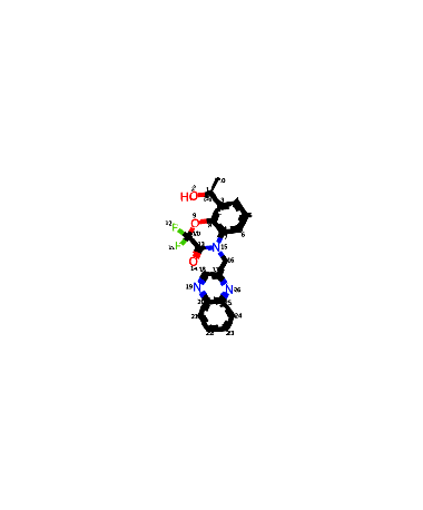 C[C@H](O)c1cccc2c1OC(F)(F)C(=O)N2Cc1cnc2ccccc2n1